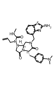 C=CCN(C(=O)NC)N1CC(=O)N2[C@@H](Cc3ccc(N(C)C)cc3)C(=O)N(Cc3cccc4sc(N)nc34)C[C@@H]21